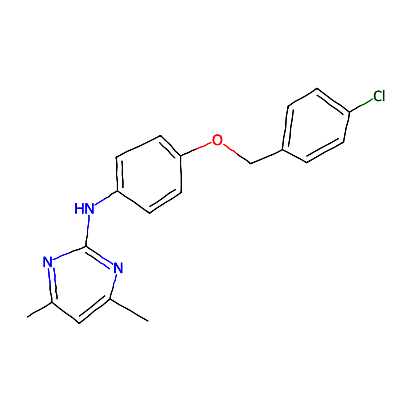 Cc1cc(C)nc(Nc2ccc(OCc3ccc(Cl)cc3)cc2)n1